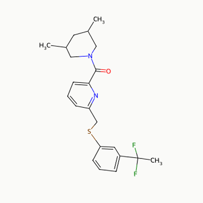 CC1CC(C)CN(C(=O)c2cccc(CSc3cccc(C(C)(F)F)c3)n2)C1